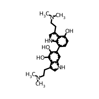 CN(C)CCc1c[nH]c2cc(-c3ccc(O)c4c(CCN(C)C)c[nH]c34)c(O)c(O)c12